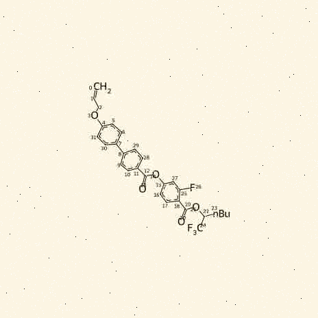 C=CCOc1ccc(-c2ccc(C(=O)Oc3ccc(C(=O)OC(CCCC)C(F)(F)F)c(F)c3)cc2)cc1